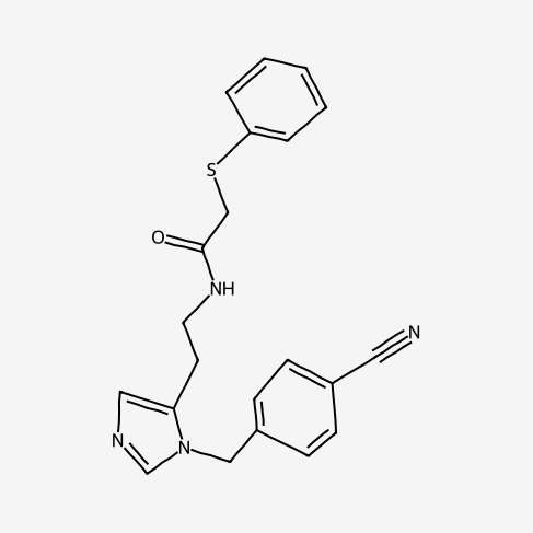 N#Cc1ccc(Cn2cncc2CCNC(=O)CSc2ccccc2)cc1